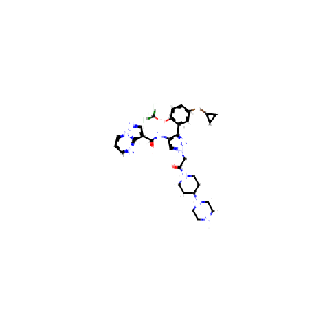 CN1CCN(C2CCN(C(=O)Cn3cc(NC(=O)c4cnn5cccnc45)c(-c4cc(SC5CC5)ccc4OC(F)F)n3)CC2)CC1